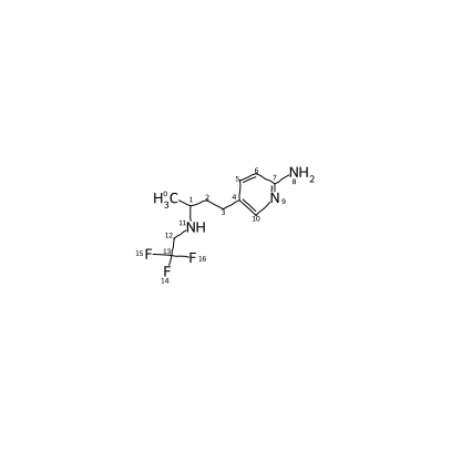 CC(CCc1ccc(N)nc1)NCC(F)(F)F